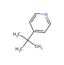 CC(C)(C)c1c[c]ncc1